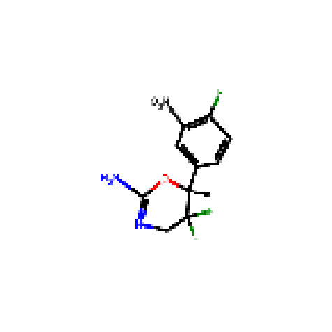 C[C@]1(c2ccc(F)c([N+](=O)[O-])c2)OC(N)=NCC1(F)F